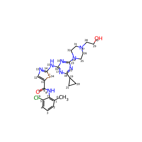 Cc1cccc(Cl)c1NC(=O)c1cnc(Nc2nc(C3CC3)nc(N3CCN(CCO)CC3)n2)s1